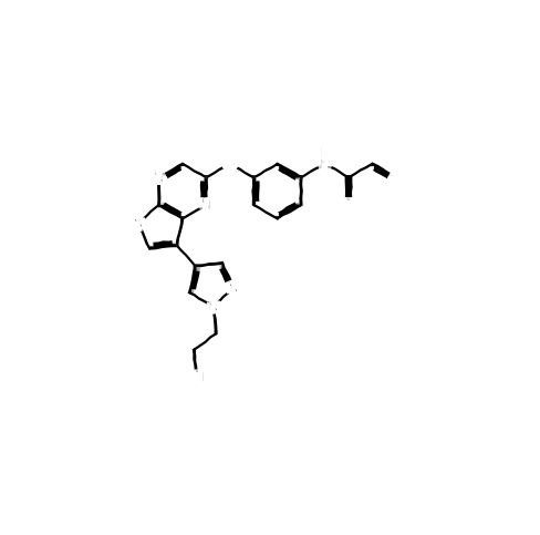 C=CC(=O)Nc1cccc(Oc2cnc3[nH]cc(-c4cnn(CCC(F)(F)F)c4)c3n2)c1